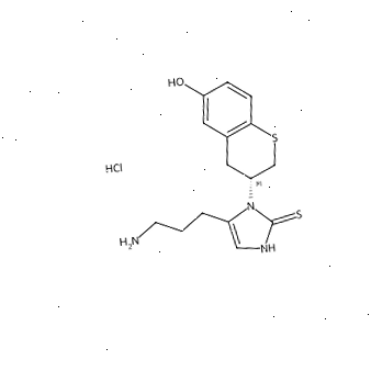 Cl.NCCCc1c[nH]c(=S)n1[C@H]1CSc2ccc(O)cc2C1